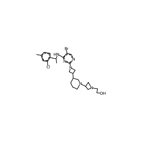 Cc1ccc(C(C)Nc2nc(N3CC(C4CCCN(C5CN(CCO)C5)C4)C3)ncc2Br)c(Cl)c1